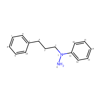 NN(CCCc1ccccc1)c1ccccc1